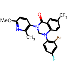 COc1ccc(N2CN(c3ccc(F)cc3Br)c3ccc(C(F)(F)F)cc3C2=O)c(C)n1